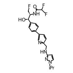 CC(C)n1ccc(NCc2ccc(-c3ccc([C@@H](O)[C@@H](CF)NC(=O)C(F)F)cc3)cn2)n1